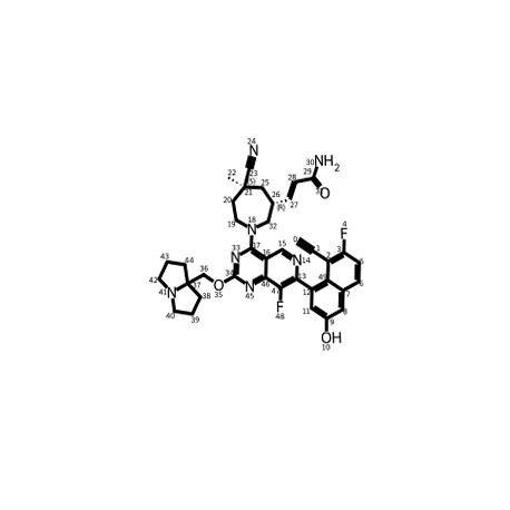 C#Cc1c(F)ccc2cc(O)cc(-c3ncc4c(N5CC[C@@](C)(C#N)C[C@H](C=CC(N)=O)C5)nc(OCC56CCCN5CCC6)nc4c3F)c12